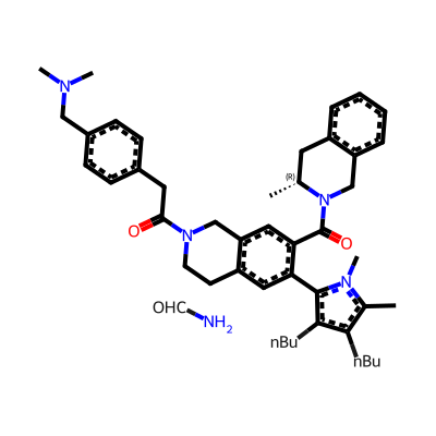 CCCCc1c(CCCC)c(-c2cc3c(cc2C(=O)N2Cc4ccccc4C[C@H]2C)CN(C(=O)Cc2ccc(CN(C)C)cc2)CC3)n(C)c1C.NC=O